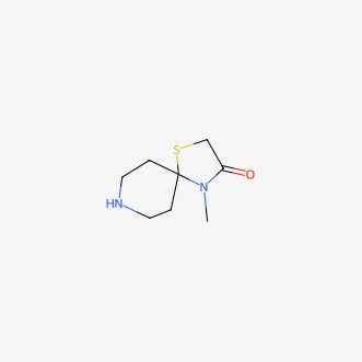 CN1C(=O)CSC12CCNCC2